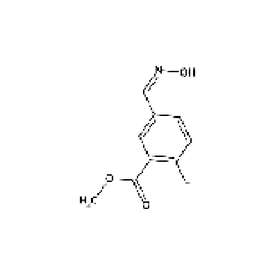 COC(=O)c1cc(/C=N\O)ccc1F